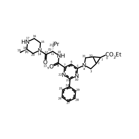 CCOC(=O)C1C2CN(c3cc(C(=O)N[C@H](C(=O)N4CCN[C@H](C)C4)C(C)C)nc(-c4ccccc4)n3)CC21